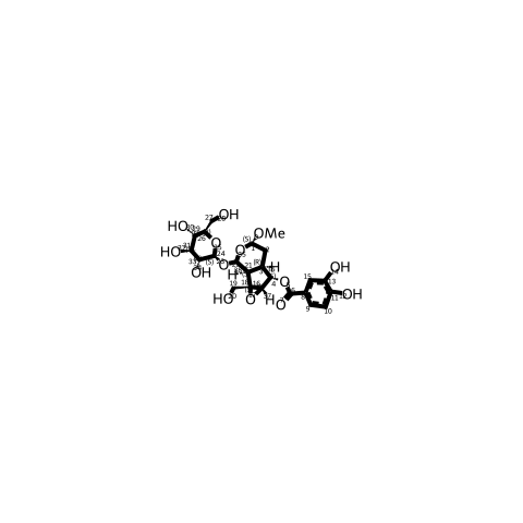 CO[C@@H]1C[C@H]2[C@H](OC(=O)c3ccc(O)c(O)c3)[C@@H]3O[C@]3(CO)[C@H]2C(O[C@@H]2O[C@H](CO)[C@@H](O)[C@H](O)[C@H]2O)O1